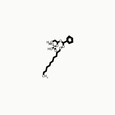 CCCCCCCCCCCOOC(OC(CC)OP(=O)(O)O)c1ccccc1